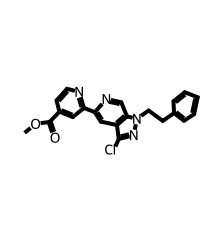 COC(=O)c1ccnc(-c2cc3c(Cl)nn(CCc4ccccc4)c3cn2)c1